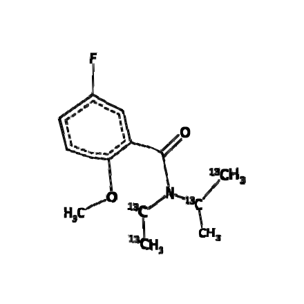 COc1ccc(F)cc1C(=O)N([13CH2][13CH3])[13CH](C)[13CH3]